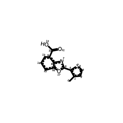 Cc1ccsc1-c1nc2c(C(=O)O)cccc2o1